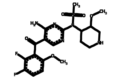 COc1ccc(F)c(F)c1C(=O)c1cnc(N(C2CCNCC2OC)S(C)(=O)=O)nc1N